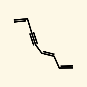 C=CC#CC=CC=C